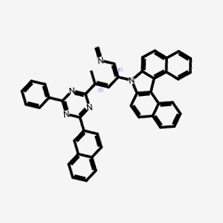 C=N/C=C(\C=C(/C)c1nc(-c2ccccc2)nc(-c2ccc3ccccc3c2)n1)n1c2ccc3ccccc3c2c2c3ccccc3ccc21